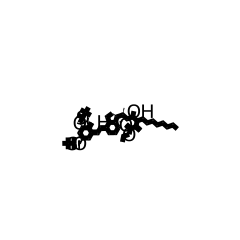 C=C(C(=O)OCC)C(CCCCCCCC)C(O)C[C@@H](C)[C@H]1CC[C@H]2/C(=C/C=C3/C[C@@H](O[Si](C)(C)C(C)(C)C)C[C@H](O[Si](C)(C)C(C)(C)C)C3=C)CCC[C@]12C